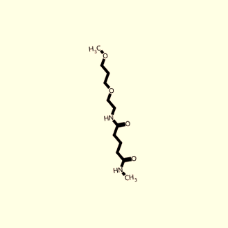 CNC(=O)CCCC(=O)NCCOCCCOC